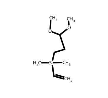 C=C[Si](C)(C)CCC(OC)OC